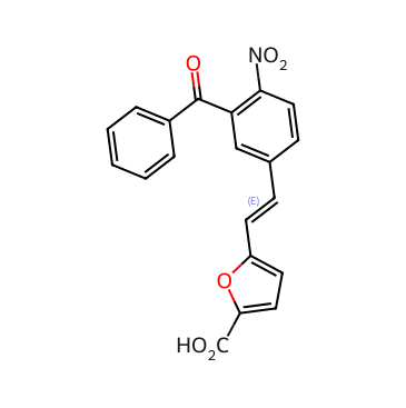 O=C(O)c1ccc(/C=C/c2ccc([N+](=O)[O-])c(C(=O)c3ccccc3)c2)o1